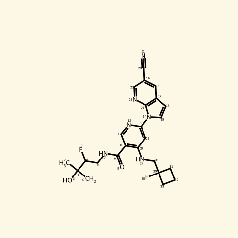 CC(C)(O)C(F)CNC(=O)c1cnc(-n2ccc3cc(C#N)cnc32)cc1NCC1(F)CCC1